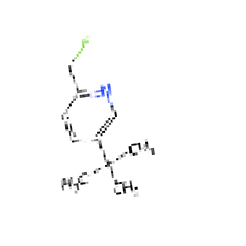 CC(C)(C)c1ccc(CF)nc1